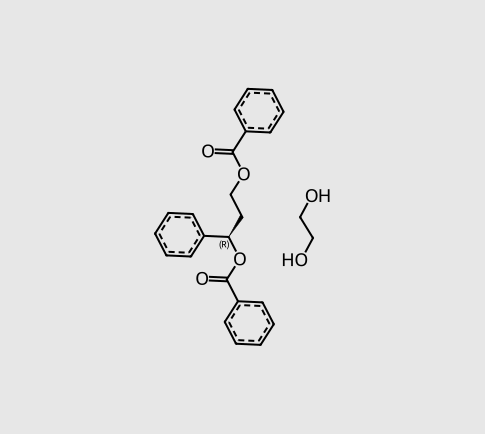 O=C(OCC[C@@H](OC(=O)c1ccccc1)c1ccccc1)c1ccccc1.OCCO